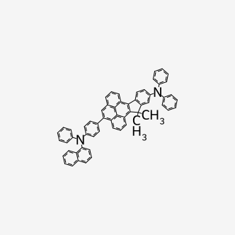 CC1(C)c2cc(N(c3ccccc3)c3ccccc3)ccc2-c2c1c1cccc3c(-c4ccc(N(c5ccccc5)c5cccc6ccccc56)cc4)cc4cccc2c4c31